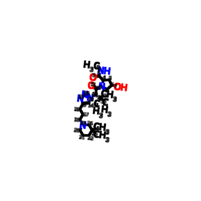 CNC(=O)C1CC(O)CN1C(=O)[C@@H](n1cc(CCCN2CCCC(C)(C)C2)nn1)C(C)(C)C